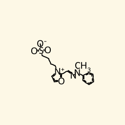 CN(/N=C/c1occ[n+]1CCCCS(=O)(=O)[O-])c1ccccc1